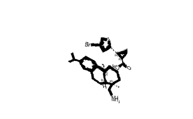 CC(C)c1ccc2c(c1)CC[C@H]1[C@](C)(CN)CCC[C@]21C.O=C(O)[C@@H]1C[C@H]1c1cc(Br)cs1